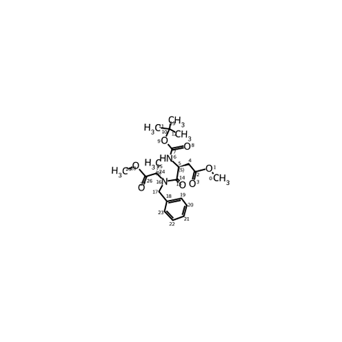 COC(=O)C[C@H](NC(=O)OC(C)(C)C)C(=O)N(Cc1ccccc1)[C@@H](C)C(=O)OC